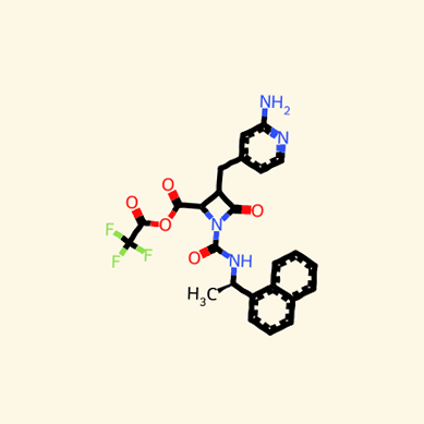 C[C@@H](NC(=O)N1C(=O)C(Cc2ccnc(N)c2)C1C(=O)OC(=O)C(F)(F)F)c1cccc2ccccc12